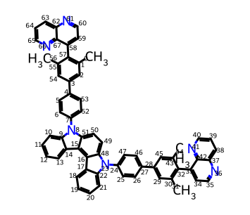 Cc1cc(-c2ccc(-n3c4ccccc4c4c5c6ccccc6n(-c6ccc(-c7cc(C)c(-c8ccnc9cccnc89)c(C)c7)cc6)c5ccc43)cc2)cc(C)c1-c1ccnc2cccnc12